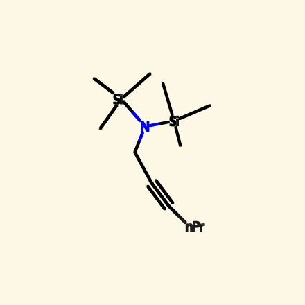 CCCC#CCN([Si](C)(C)C)[Si](C)(C)C